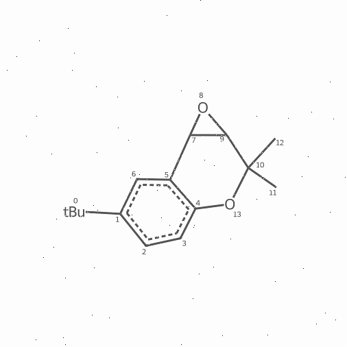 CC(C)(C)c1ccc2c(c1)C1OC1C(C)(C)O2